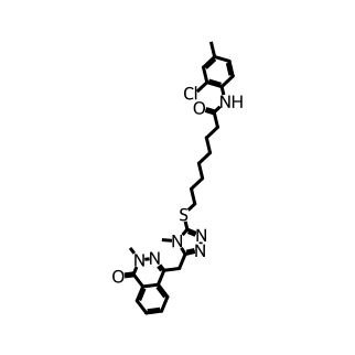 Cc1ccc(NC(=O)CCCCCCCSc2nnc(Cc3nn(C)c(=O)c4ccccc34)n2C)c(Cl)c1